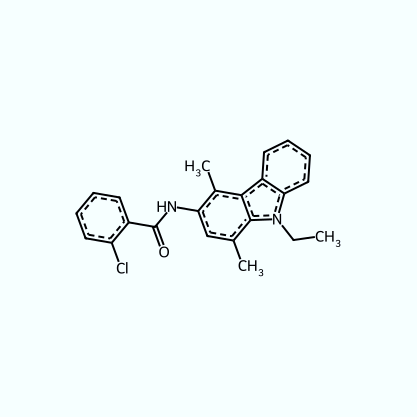 CCn1c2ccccc2c2c(C)c(NC(=O)c3ccccc3Cl)cc(C)c21